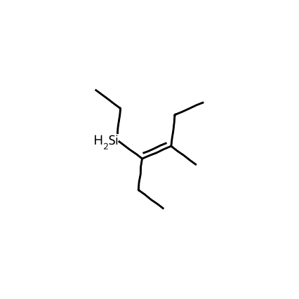 CC[SiH2]C(CC)=C(C)CC